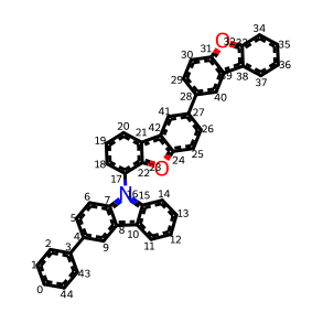 c1ccc(-c2ccc3c(c2)c2ccccc2n3-c2cccc3c2oc2ccc(-c4ccc5oc6ccccc6c5c4)cc23)cc1